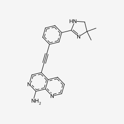 CC1(C)CNC(c2cccc(C#Cc3cnc(N)c4ncccc34)c2)=N1